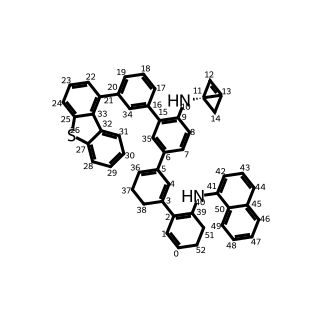 C1=CC(C2=CC(c3ccc(N[C@]45C=C4C5)c(-c4cccc(-c5cccc6sc7ccccc7c56)c4)c3)=CCC2)=C(Nc2cccc3ccccc23)CC1